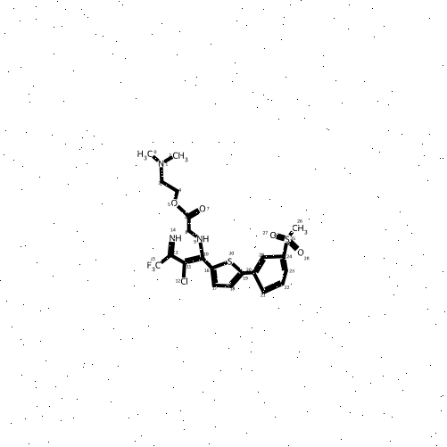 CN(C)CCOC(=O)CN/C(=C(/Cl)C(=N)C(F)(F)F)c1ccc(-c2cccc(S(C)(=O)=O)c2)s1